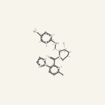 Cc1ccc(-n2nccn2)c(C(=O)N2CCC[C@@H](C)[C@H]2CNc2ncc(C#N)cn2)n1